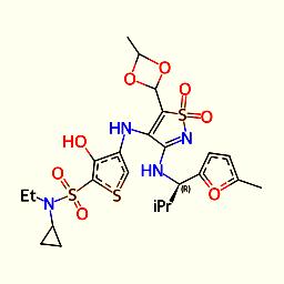 CCN(C1CC1)S(=O)(=O)c1scc(NC2=C(C3OC(C)O3)S(=O)(=O)N=C2N[C@@H](c2ccc(C)o2)C(C)C)c1O